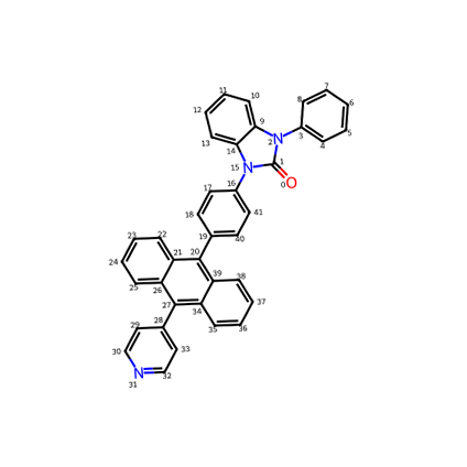 O=c1n(-c2ccccc2)c2ccccc2n1-c1ccc(-c2c3ccccc3c(-c3ccncc3)c3ccccc23)cc1